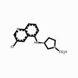 O=C(O)N1CC[C@H](Nc2cccc3ncc(Cl)cc23)C1